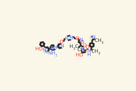 Cc1ncsc1-c1ccc([C@H](C)NC(=O)[C@@H]2C[C@@H](O)CN2C(=O)C(c2cc(OCCN3CCN(CCOc4cc(N5CC6CCCC5CN6c5cc(-c6ccccc6O)nnc5N)ccn4)CC3)no2)C(C)C)cc1